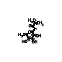 C[C@@H]1OC(CC(=O)N(C)C)[C@H](O)[C@@H](O)[C@@H]1O